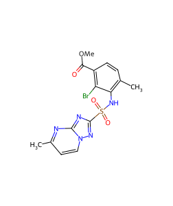 COC(=O)c1ccc(C)c(NS(=O)(=O)c2nc3nc(C)ccn3n2)c1Br